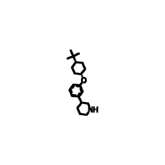 CC(C)(C)[C@H]1CC[C@H](Oc2cccc(C3CCCNC3)c2)CC1